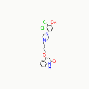 O=C1CC(OCCCCN2CCN(c3ccc(O)c(Cl)c3Cl)CC2)c2ccccc2N1